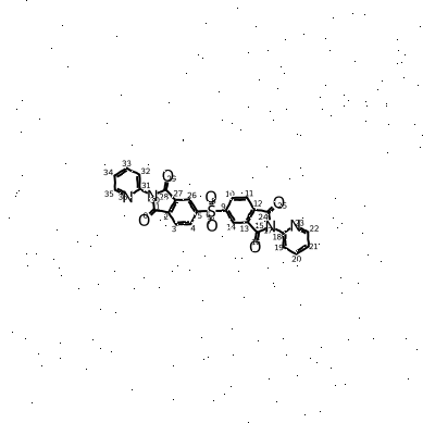 O=C1c2ccc(S(=O)(=O)c3ccc4c(c3)C(=O)N(c3ccccn3)C4=O)cc2C(=O)N1c1ccccn1